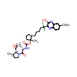 CC[C@@H]1CCN(C(=O)CNC(=O)OC2(C)CCC[C@H]2CCCCC(F)(F)c2nc3ccc(OC)cc3nc2O)[C@@H]1C1O[C@@H]1C